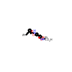 Cc1c(C(=O)Nc2ccc(-c3ccc(S(=O)(=O)N[C@H](C(=O)O)C(C)C)cc3)cc2)oc2cccc(C#CCC(C)C)c12